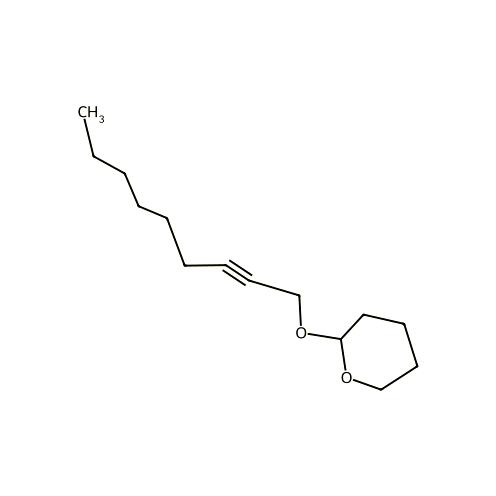 CCCCCCC#CCOC1CCCCO1